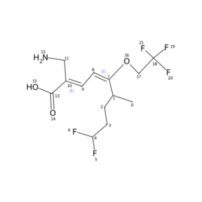 CC(CCC(F)F)/C(=C\C=C(/CN)C(=O)O)OCC(F)(F)F